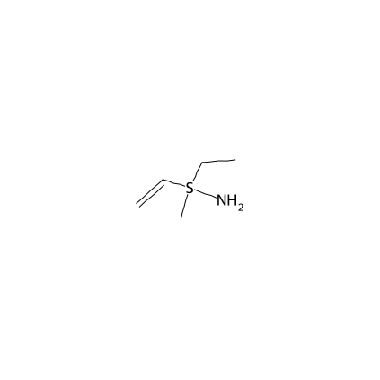 C=CS(C)(N)CC